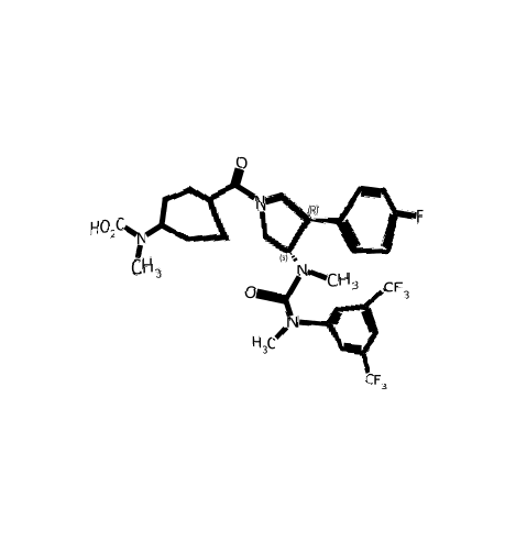 CN(C(=O)N(C)[C@@H]1CN(C(=O)C2CCC(N(C)C(=O)O)CC2)C[C@H]1c1ccc(F)cc1)c1cc(C(F)(F)F)cc(C(F)(F)F)c1